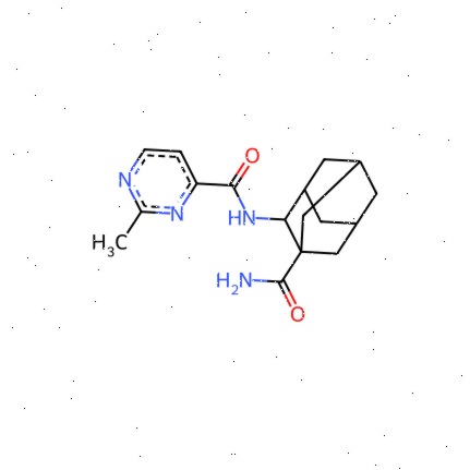 Cc1nccc(C(=O)NC2C3CC4CC(C3)CC2(C(N)=O)C4)n1